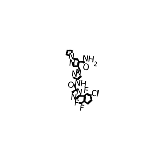 NC(=O)c1cc(N2CCC2)ncc1Cn1cc(NC(=O)c2cncc(-c3c(C(F)F)ccc(Cl)c3F)n2)cn1